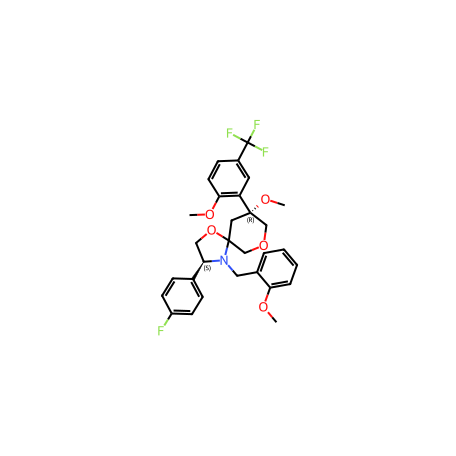 COc1ccccc1CN1[C@@H](c2ccc(F)cc2)COC12COC[C@](OC)(c1cc(C(F)(F)F)ccc1OC)C2